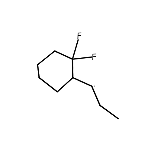 CC[CH]C1CCCCC1(F)F